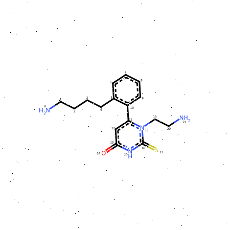 NCCCCc1ccccc1-c1cc(=O)[nH]c(=S)n1CCN